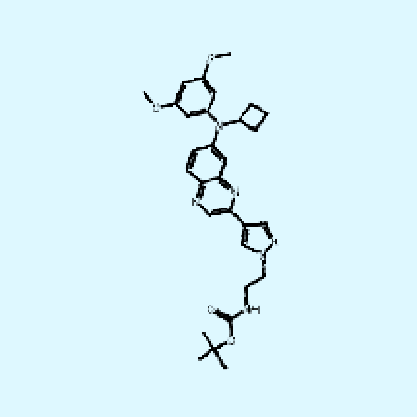 COc1cc(OC)cc(N(c2ccc3ncc(-c4cnn(CCNC(=O)OC(C)(C)C)c4)nc3c2)C2CCC2)c1